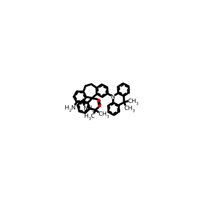 CC1(C)c2ccccc2N(c2ccc3c(c2)C2(c4ccccc4C(C)(C)c4ccccc42)c2c(ccc(N)c2N)CC3)c2ccccc21